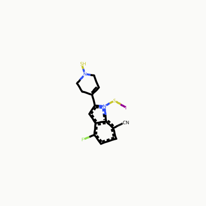 N#Cc1ccc(F)c2cc(C3=CCN(S)CC3)n(SI)c12